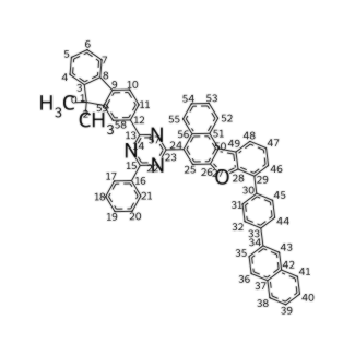 CC1(C)c2ccccc2-c2ccc(-c3nc(-c4ccccc4)nc(-c4cc5oc6c(-c7ccc(-c8ccc9ccccc9c8)cc7)cccc6c5c5ccccc45)n3)cc21